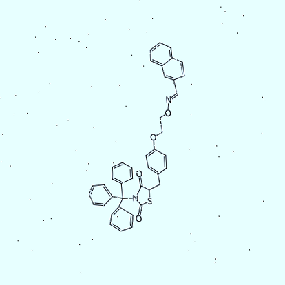 O=C1SC(Cc2ccc(OCCON=Cc3ccc4ccccc4c3)cc2)C(=O)N1C(c1ccccc1)(c1ccccc1)c1ccccc1